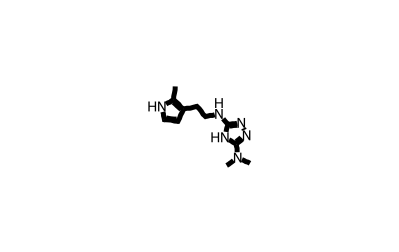 Cc1[nH]ccc1CCNc1nnc(N(C)C)[nH]1